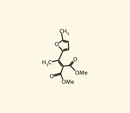 COC(=O)C(C(=O)OC)=C(C)c1ccc(C)o1